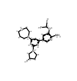 Nc1ncc(-c2cc(N3CCCOCC3)nc(N3CC[C@@H](F)C3)n2)cc1OC(F)F